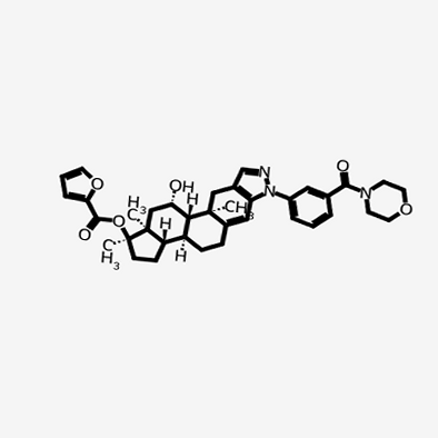 C[C@]12Cc3cnn(-c4cccc(C(=O)N5CCOCC5)c4)c3C=C1CC[C@@H]1[C@@H]2[C@@H](O)C[C@@]2(C)[C@H]1CC[C@@]2(C)OC(=O)c1ccco1